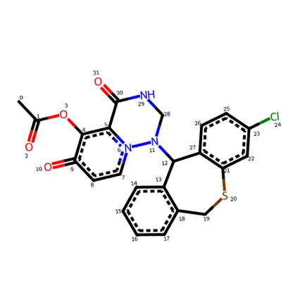 CC(=O)Oc1c2n(ccc1=O)N(C1c3ccccc3CSc3cc(Cl)ccc31)CNC2=O